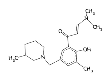 Cc1cc(CN2CCCC(C)C2)cc(C(=O)C=CN(C)C)c1O